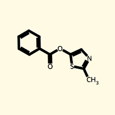 Cc1ncc(OC(=O)c2ccccc2)s1